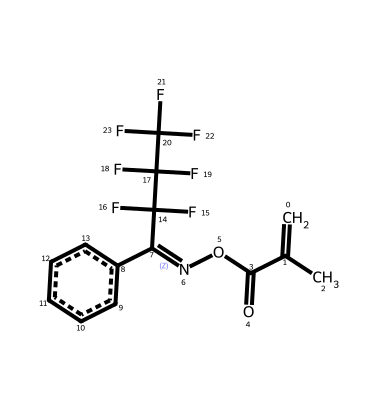 C=C(C)C(=O)O/N=C(/c1ccccc1)C(F)(F)C(F)(F)C(F)(F)F